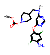 CCN(CC1CCN(OC(=O)OC(C)(C)C)CC1)c1cc(Oc2cc(F)c(N)cc2F)ncn1